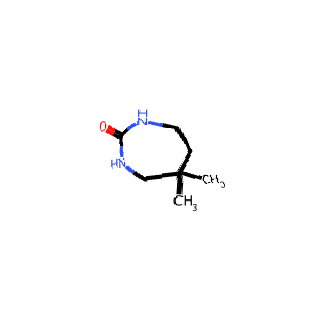 CC1(C)CCNC(=O)NC1